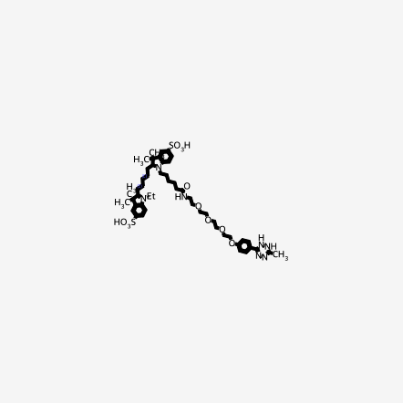 CC[N+]1=C(/C=C/C=C/CC2N(CCCCCC(=O)NCCOCCOCCOCCOc3ccc(C4=NN=C(C)NN4)cc3)c3ccc(S(=O)(=O)O)cc3C2(C)C)C(C)(C)c2cc(S(=O)(=O)O)ccc21